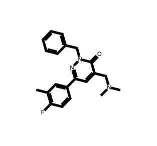 Cc1cc(-c2cc(CN(C)C)c(=O)n(Cc3ccccc3)n2)ccc1F